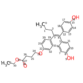 CCCC(=C(c1ccc(O)cc1)c1ccc(O)cc1)c1ccc(OCCCC(=O)OCC)cc1